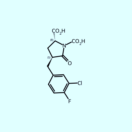 O=C(O)[C@H]1C[C@H](Cc2ccc(F)c(Cl)c2)C(=O)N1C(=O)O